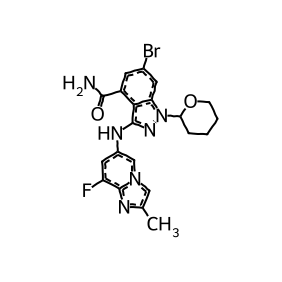 Cc1cn2cc(Nc3nn(C4CCCCO4)c4cc(Br)cc(C(N)=O)c34)cc(F)c2n1